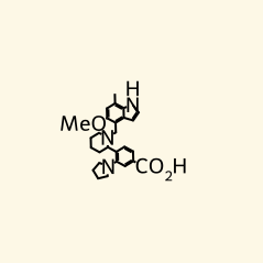 COc1cc(C)c2[nH]ccc2c1CN1CCCCC1c1ccc(C(=O)O)cc1N1CCCC1